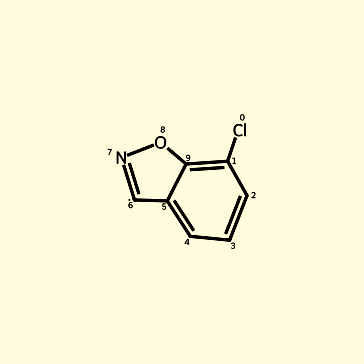 Clc1cccc2[c]noc12